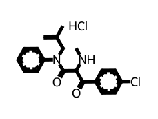 C=C(C)CN(C(=O)C(NC)C(=O)c1ccc(Cl)cc1)c1ccccc1.Cl